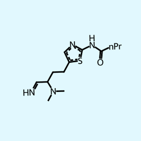 CCCC(=O)Nc1ncc(CCC(C=N)N(C)C)s1